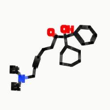 CCN(CC)CC#CCCC(=O)C(O)(c1ccccc1)C1CCCCC1